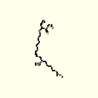 CCCCCC[C@@H](O)C/C=C\CCCCCCC([C]=O)C(C)=O